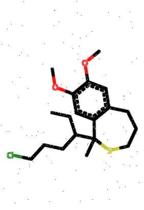 CCC(CCCCl)C1(C)SCCCc2cc(OC)c(OC)cc21